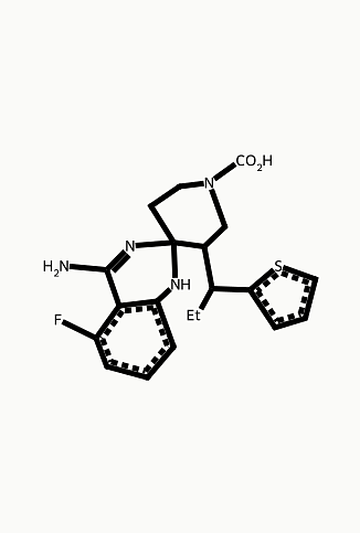 CCC(c1cccs1)C1CN(C(=O)O)CCC12N=C(N)c1c(F)cccc1N2